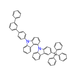 c1ccc(-c2cccc(-c3ccc(-n4c5ccccc5c5c(-n6c7ccccc7c7cc([Si](c8ccccc8)(c8ccccc8)c8ccccc8)ccc76)cccc54)cc3)c2)cc1